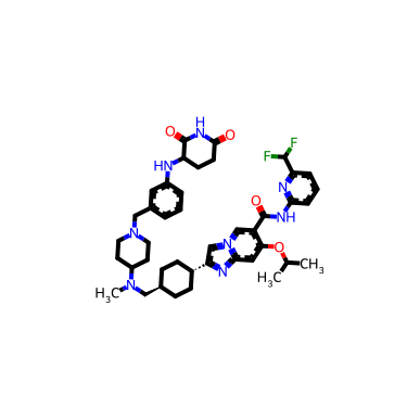 CC(C)Oc1cc2nc([C@H]3CC[C@H](CN(C)C4CCN(Cc5cccc(NC6CCC(=O)NC6=O)c5)CC4)CC3)cn2cc1C(=O)Nc1cccc(C(F)F)n1